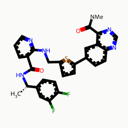 CNC(=O)c1ncnc2ccc(-c3ccc(CNc4ncccc4C(=O)N[C@@H](C)c4ccc(F)c(F)c4)s3)cc12